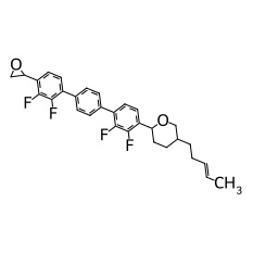 C/C=C/CCC1CCC(c2ccc(-c3ccc(-c4ccc(C5CO5)c(F)c4F)cc3)c(F)c2F)OC1